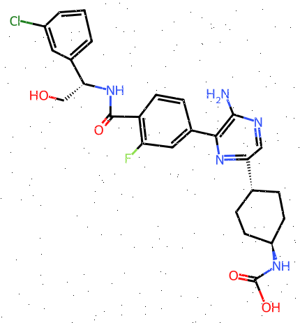 Nc1ncc([C@H]2CC[C@H](NC(=O)O)CC2)nc1-c1ccc(C(=O)N[C@H](CO)c2cccc(Cl)c2)c(F)c1